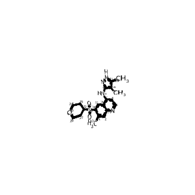 Cc1cc2nccc(Nc3n[nH]c(C)c3C)c2cc1S(=O)(=O)C1CCOCC1